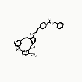 Cc1cnc2nc1Nc1ccc(NCCC3CCN(C(=O)OCc4ccccc4)CC3)c(c1)CCc1cncc(c1)N2